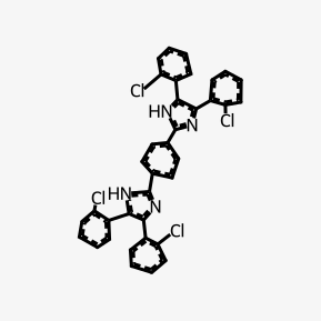 Clc1ccccc1-c1nc(-c2ccc(-c3nc(-c4ccccc4Cl)c(-c4ccccc4Cl)[nH]3)cc2)[nH]c1-c1ccccc1Cl